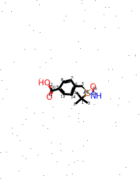 CC(C)(C)[S@@]1(Cc2ccc(C(=O)O)cc2)NO1